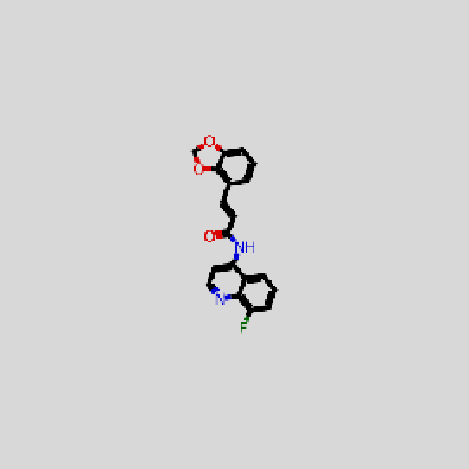 O=C(C=Cc1cccc2c1OCO2)Nc1ccnc2c(F)cccc12